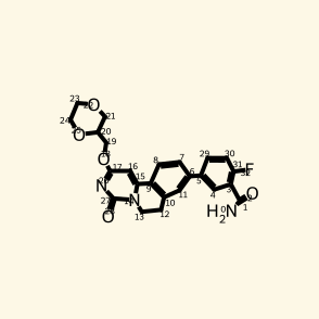 NC(=O)c1cc(-c2ccc3c(c2)CCn2c-3cc(OCC3COCCO3)nc2=O)ccc1F